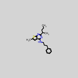 CCCC(C)c1nc(NCCCc2ccccc2)c2cc(C)sc2n1